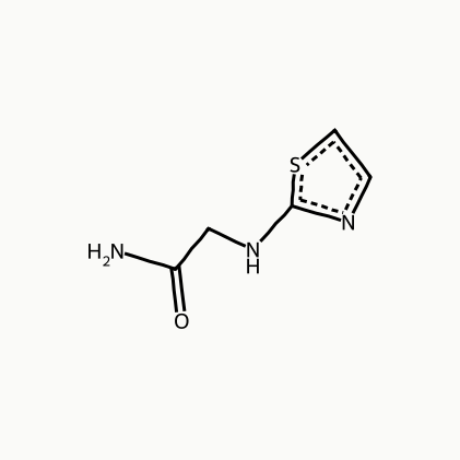 NC(=O)CNc1nccs1